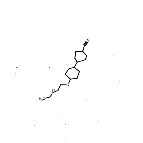 CCNCCOC1CCC(C2CCC(C#N)CC2)CC1